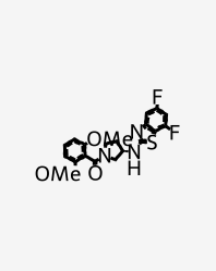 COc1cccc(OC)c1C(=O)N1CC[C@@H](Nc2nc3cc(F)cc(F)c3s2)C1